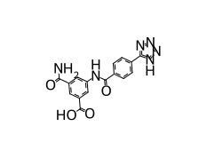 NC(=O)c1cc(NC(=O)c2ccc(-c3nnn[nH]3)cc2)cc(C(=O)O)c1